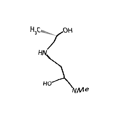 CNC(O)CN[C@H](C)O